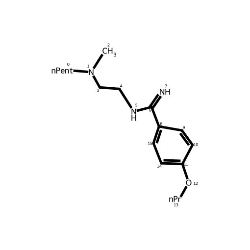 CCCCCN(C)CCNC(=N)c1ccc(OCCC)cc1